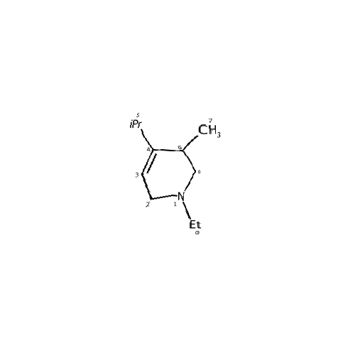 CCN1CC=C(C(C)C)C(C)C1